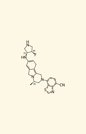 C[C@@H]1CN(c2ccc(C#N)c3ncsc23)CC2=C3CC=C(N[C@H]4CNC[C@H]4F)C=C3CN21